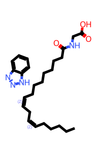 CCCCC/C=C\C/C=C\CCCCCCCC(=O)NCC(=O)O.c1ccc2[nH]nnc2c1